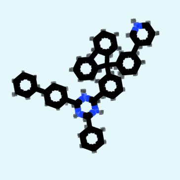 c1ccc(-c2ccc(-c3nc(-c4ccccc4)nc(-c4cccc(C5(c6cccc(-c7cccnc7)c6)c6ccccc6-c6ccccc65)c4)n3)cc2)cc1